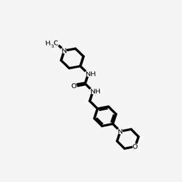 CN1CCC(NC(=O)NCc2ccc(N3CCOCC3)cc2)CC1